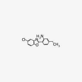 CCc1ccc(-c2nc3cc(Cl)ccc3o2)c(N)c1